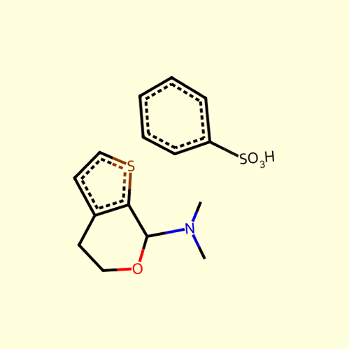 CN(C)C1OCCc2ccsc21.O=S(=O)(O)c1ccccc1